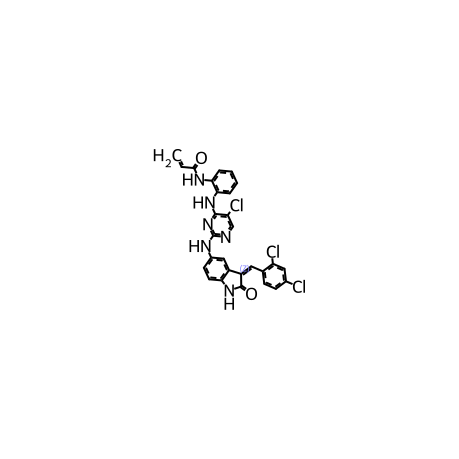 C=CC(=O)Nc1ccccc1Nc1nc(Nc2ccc3c(c2)/C(=C/c2ccc(Cl)cc2Cl)C(=O)N3)ncc1Cl